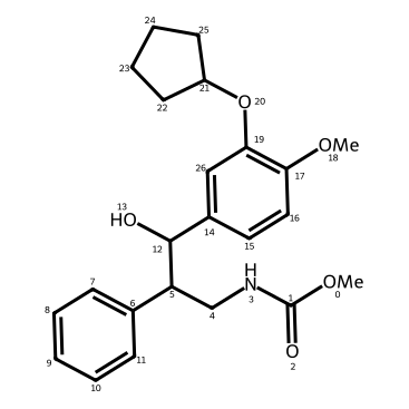 COC(=O)NCC(c1ccccc1)C(O)c1ccc(OC)c(OC2CCCC2)c1